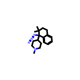 CN1CCC(C2(N=[N+]=[N-])c3ccccc3CCC2(C)C)CC1